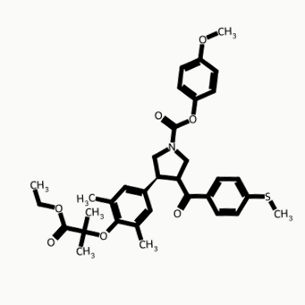 CCOC(=O)C(C)(C)Oc1c(C)cc([C@H]2CN(C(=O)Oc3ccc(OC)cc3)CC2C(=O)c2ccc(SC)cc2)cc1C